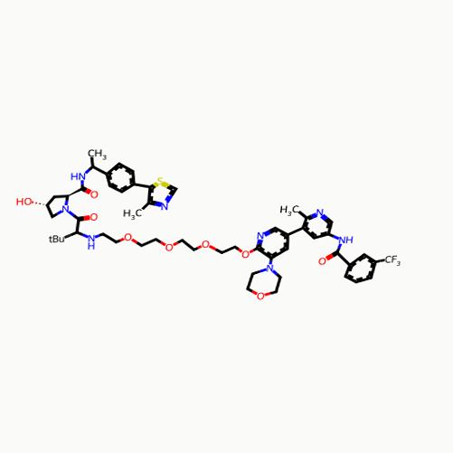 Cc1ncc(NC(=O)c2cccc(C(F)(F)F)c2)cc1-c1cnc(OCCOCCOCCOCCNC(C(=O)N2C[C@H](O)C[C@H]2C(=O)NC(C)c2ccc(-c3scnc3C)cc2)C(C)(C)C)c(N2CCOCC2)c1